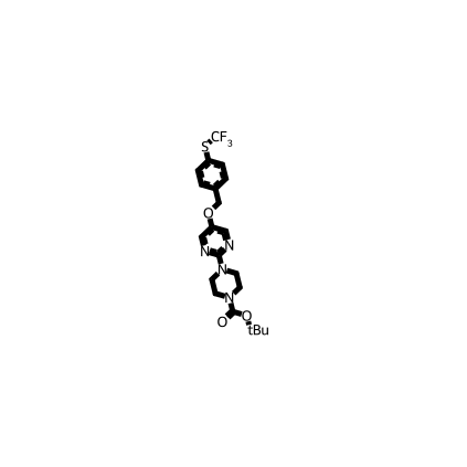 CC(C)(C)OC(=O)N1CCN(c2ncc(OCc3ccc(SC(F)(F)F)cc3)cn2)CC1